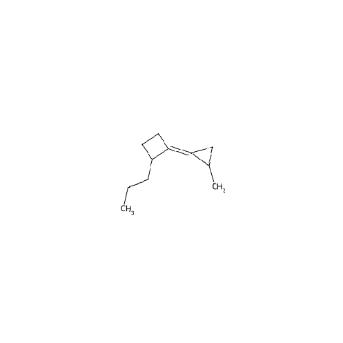 CCCC1CCC1=C1CC1C